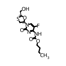 CCCCOC(=O)Nc1nc(=O)n([C@H]2CS[C@@H](CO)O2)cc1F